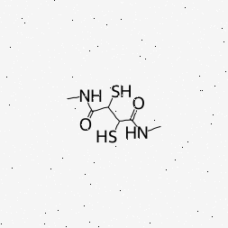 CNC(=O)C(S)C(S)C(=O)NC